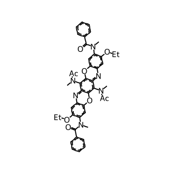 CCOc1cc2c(cc1N(C)C(=O)c1ccccc1)Oc1c(N(C)C(C)=O)c3c(c(N(C)C(C)=O)c1=N2)Oc1cc(N(C)C(=O)c2ccccc2)c(OCC)cc1N=3